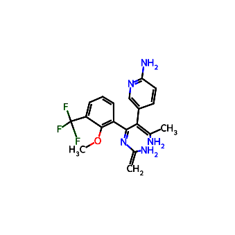 C=C(N)/N=C(\C(=C(\C)N)c1ccc(N)nc1)c1cccc(C(F)(F)F)c1OC